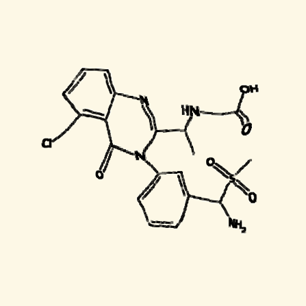 CC(NC(=O)O)c1nc2cccc(Cl)c2c(=O)n1-c1cccc(C(N)S(C)(=O)=O)c1